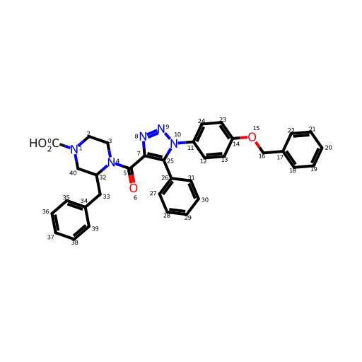 O=C(O)N1CCN(C(=O)c2nnn(-c3ccc(OCc4ccccc4)cc3)c2-c2ccccc2)C(Cc2ccccc2)C1